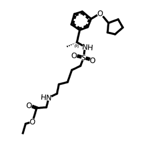 CCOC(=O)CNCCCCCS(=O)(=O)N[C@H](C)c1cccc(OC2CCCC2)c1